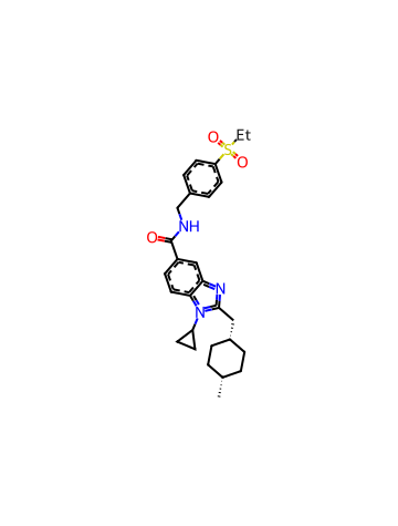 CCS(=O)(=O)c1ccc(CNC(=O)c2ccc3c(c2)nc(C[C@H]2CC[C@@H](C)CC2)n3C2CC2)cc1